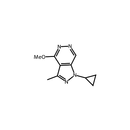 COc1nncc2c1c(C)nn2C1CC1